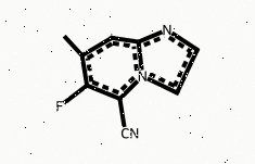 Cc1[c]c2nccn2c(C#N)c1F